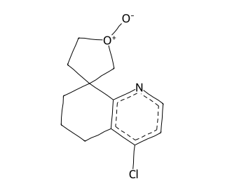 [O-][O+]1CCC2(CCCc3c(Cl)ccnc32)C1